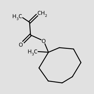 C=C(C)C(=O)OC1(C)CCCCCCC1